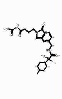 BC(=O)NC(=O)CCCN1Cc2cc(CNC(=O)C(F)(F)C3CCC(C)CC3)ccc2C1=O